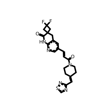 O=C(/C=C/c1cnc2c(c1)CC1(CC(F)(F)C1)C(=O)N2)N1CCC(=Cc2ncsn2)CC1